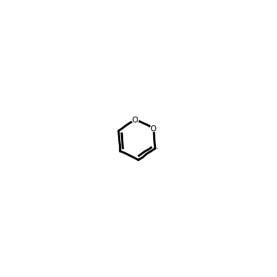 [C]1=CC=COO1